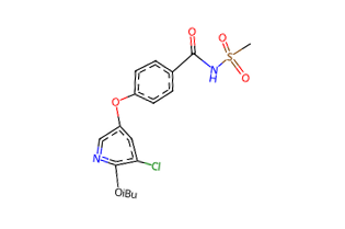 CC(C)COc1ncc(Oc2ccc(C(=O)NS(C)(=O)=O)cc2)cc1Cl